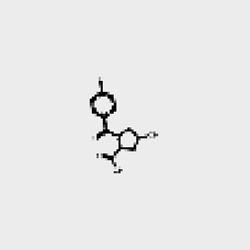 O=C(O)C1CC(O)CN1C(=O)c1ccc(F)cc1